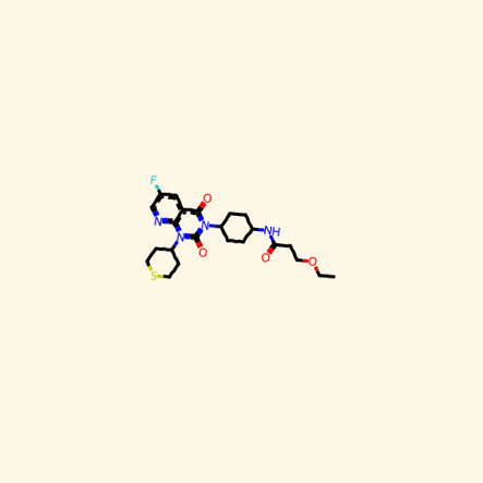 CCOCCC(=O)NC1CCC(n2c(=O)c3cc(F)cnc3n(C3CCSCC3)c2=O)CC1